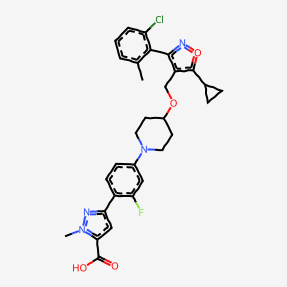 Cc1cccc(Cl)c1-c1noc(C2CC2)c1COC1CCN(c2ccc(-c3cc(C(=O)O)n(C)n3)c(F)c2)CC1